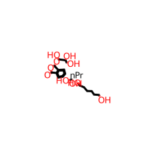 CCCC(O)O.O=C1OC(=O)c2ccccc21.OCC(O)CO.OCCCCCCO